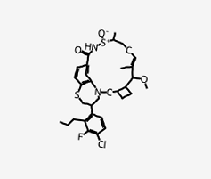 CCCc1c(C2CSc3ccc4cc3N(C2)CC2CCC2C(OC)/C(C)=C/CCC(C)[S+]([O-])NC4=O)ccc(Cl)c1F